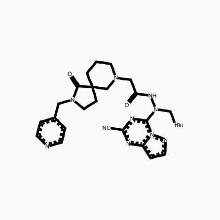 CC(C)(C)CN(NC(=O)CN1CCCC2(CCN(Cc3ccncc3)C2=O)C1)c1nc(C#N)nc2ccnn12